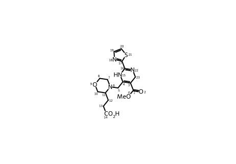 COC(=O)C1=C(CN2CCOCC2CCC(=O)O)NC(c2nccs2)=NC1